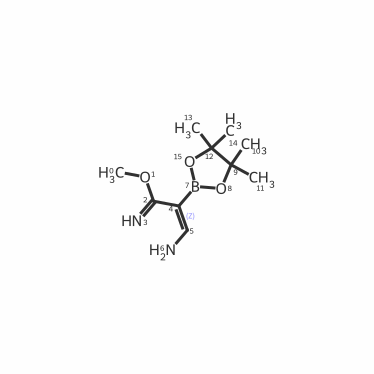 COC(=N)/C(=C\N)B1OC(C)(C)C(C)(C)O1